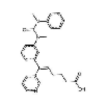 CN(C(=O)N(C)c1cccc(/C(=C/CCCC(=O)O)c2cccnc2)c1)c1ccccc1